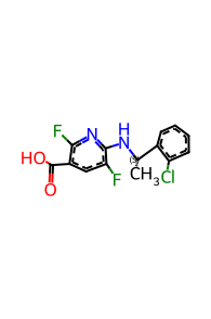 C[C@H](Nc1nc(F)c(C(=O)O)cc1F)c1ccccc1Cl